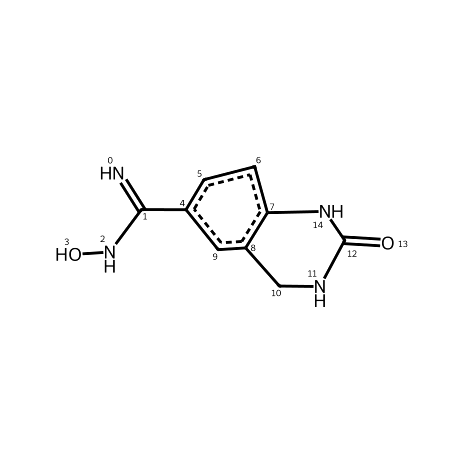 N=C(NO)c1ccc2c(c1)CNC(=O)N2